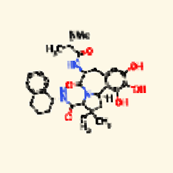 CN[C@@H](C)C(=O)N[C@H]1Cc2cc(O)c(O)c(O)c2[C@H]2CC(C)(C)C(C(=O)N[C@@H]3CCCc4ccccc43)N2C1=O